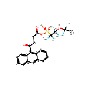 O=C(CCC(=O)c1c2ccccc2cc2ccccc12)OS(=O)(=O)C(F)(F)C(F)(F)OC(F)(F)C(F)(F)F